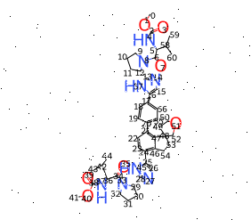 COC(=O)N[C@H](C(=O)N1CCC[C@H]1c1ncc(-c2ccc(-c3ccc(-c4cnc([C@@H]5CCCN5C(=O)[C@@H](NC(=O)OC)C(C)C)[nH]4)c4c3C3(CCOC3)CC4)cc2)[nH]1)C(C)C